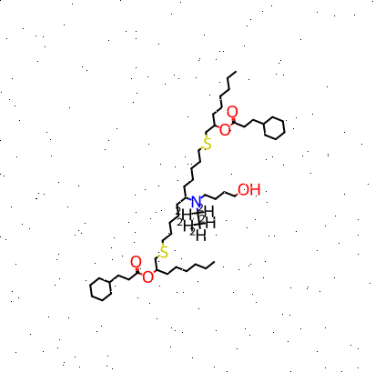 [2H]C([2H])([2H])C([2H])([2H])N(CCCCO)C(CCCCCSCC(CCCCCC)OC(=O)CCC1CCCCC1)CCCCCSCC(CCCCCC)OC(=O)CCC1CCCCC1